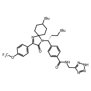 CC(C)(C)CC[C@H](c1ccc(C(=O)NCc2nn[nH]n2)cc1)N1C(=O)C(c2ccc(OC(F)(F)F)cc2)=NC12CCC(C(C)(C)C)CC2